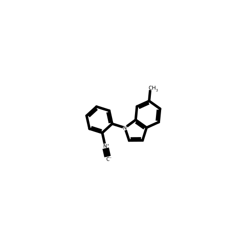 [C-]#[N+]c1ccccc1-n1ccc2ccc(C)cc21